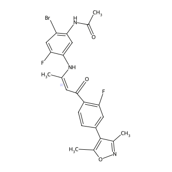 CC(=O)Nc1cc(N/C(C)=C\C(=O)c2ccc(-c3c(C)noc3C)cc2F)c(F)cc1Br